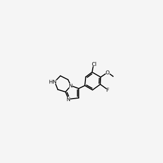 COc1c(F)cc(-c2cnc3n2CCNC3)cc1Cl